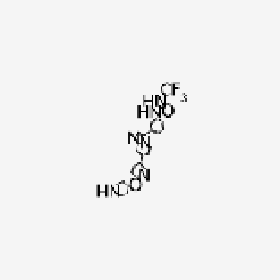 O=C(NCC(F)(F)F)Nc1cccc(-c2cnc3cc(-c4ccc(OC5CCNCC5)nc4)ccn23)c1